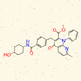 COC(=O)c1c(Cc2ccc(C(=O)NC3CCC(O)CC3)cc2)c(=O)c2ccc(C)nc2n1-c1ccccc1